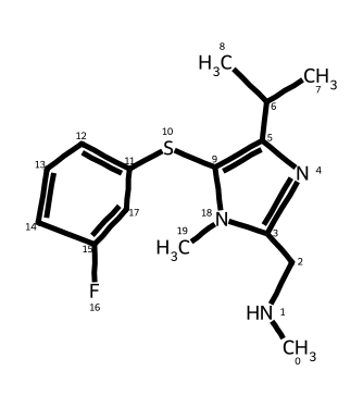 CNCc1nc(C(C)C)c(Sc2cccc(F)c2)n1C